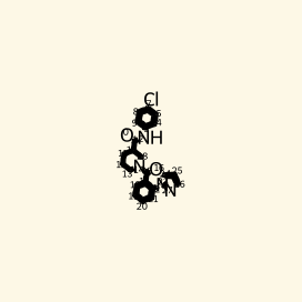 O=C(Nc1ccc(Cl)cc1)C1CCCN(C(=O)c2ccccc2-n2cccn2)C1